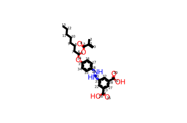 C=C(C)C(=O)OC(CCCCCCC)Oc1ccc(NNc2cc(C(=O)O)cc(C(=O)O)c2)cc1